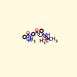 Cc1ccccc1C(=O)Nc1ccc(C(=O)N2CCCC(NC(=O)CN(C)C)c3ccccc32)cc1